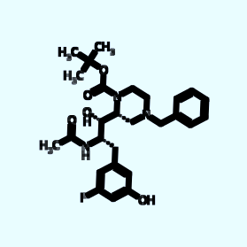 CC(=O)N[C@@H](Cc1cc(O)cc(F)c1)[C@H](O)[C@H]1CN(Cc2ccccc2)CCN1C(=O)OC(C)(C)C